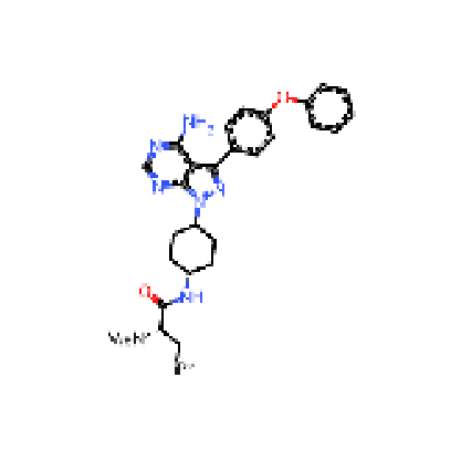 CN[C@@H](CC(C)C)C(=O)N[C@H]1CC[C@@H](n2nc(-c3ccc(Oc4ccccc4)cc3)c3c(N)ncnc32)CC1